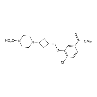 COC(=O)c1ccc(Cl)c(OC[C@H]2C[C@@H](N3CCN(C(=O)O)CC3)C2)c1